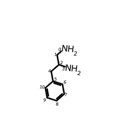 NCC(N)Cc1ccccc1